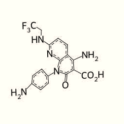 Nc1ccc(-n2c(=O)c(C(=O)O)c(N)c3ccc(NCC(F)(F)F)nc32)cc1